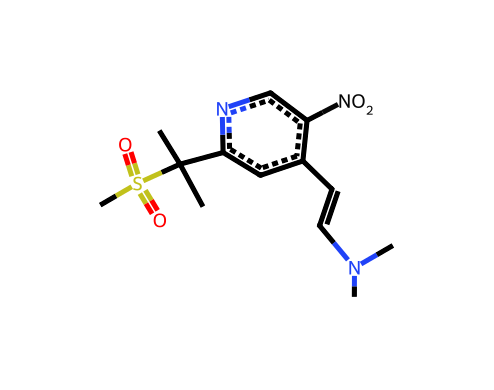 CN(C)/C=C/c1cc(C(C)(C)S(C)(=O)=O)ncc1[N+](=O)[O-]